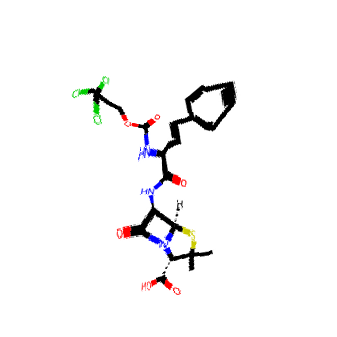 CC1(C)S[C@@H]2[C@H](NC(=O)C(/C=C/c3ccccc3)NC(=O)OCC(Cl)(Cl)Cl)C(=O)N2[C@H]1C(=O)O